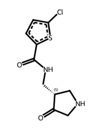 O=C(NC[C@@H]1CNCC1=O)c1ccc(Cl)s1